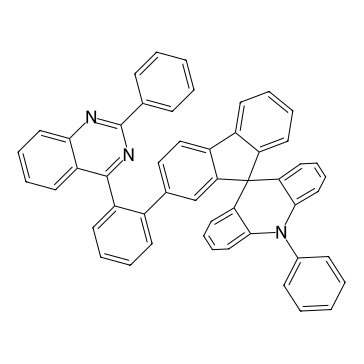 c1ccc(-c2nc(-c3ccccc3-c3ccc4c(c3)C3(c5ccccc5-4)c4ccccc4N(c4ccccc4)c4ccccc43)c3ccccc3n2)cc1